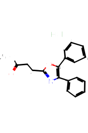 COC(=O)CCc1nc(-c2ccccc2)c(-c2ccccc2)o1.Cl